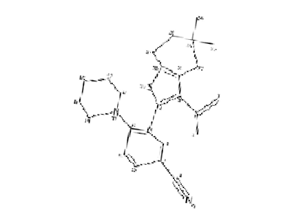 C=C(C)c1c(-c2cc(C#N)ccc2N2CCCCC2)sc2c1CC(C)(C)CC2